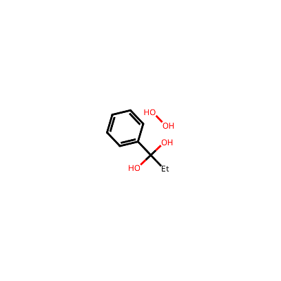 CCC(O)(O)c1ccccc1.OO